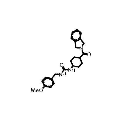 COc1ccc(CNC(=O)NC2CCC(C(=O)N3Cc4ccccc4C3)CC2)cc1